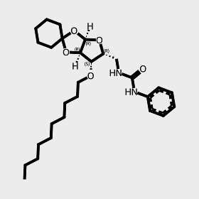 CCCCCCCCCCO[C@@H]1[C@H]2OC3(CCCCC3)O[C@H]2O[C@@H]1CNC(=O)Nc1ccccc1